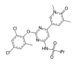 Cc1cc(Cl)cc(Cl)c1Oc1nc(NS(=O)(=O)C(C)C)cc(-c2cc(C)c(=O)n(C)c2)n1